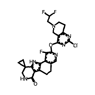 O=C1NCC2(CC2)c2[nH]c3c(c21)CCc1cnc(Oc2nc(Cl)nc4c2CN(CC(F)F)CC4)c(F)c1-3